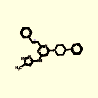 Cc1cc(Nc2cc(N3CCC(c4ccccc4)CC3)nc(/C=C/c3ccccc3)n2)n[nH]1